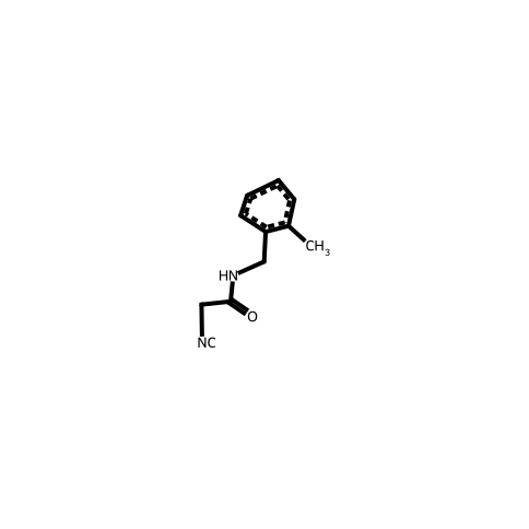 [C-]#[N+]CC(=O)NCc1ccccc1C